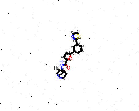 O=C(N[C@H]1CN2CCC1CC2)c1ccc(-c2cccc(-c3nccs3)c2)o1